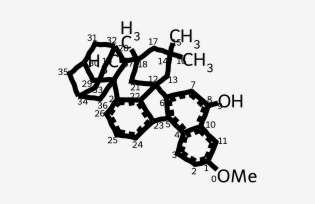 COc1ccc2c3c(cc(O)c2c1)C1(CC(C)(C)CC(C)(C)C1)c1c-3cccc1C12CC3CC(CC(C3)C1)C2